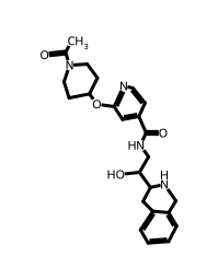 CC(=O)N1CCC(Oc2cc(C(=O)NCC(O)C3Cc4ccccc4CN3)ccn2)CC1